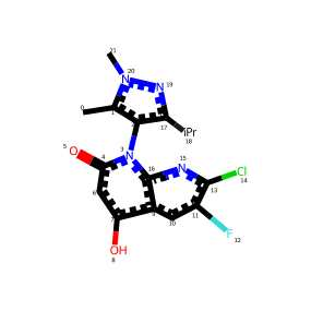 Cc1c(-n2c(=O)cc(O)c3cc(F)c(Cl)nc32)c(C(C)C)nn1C